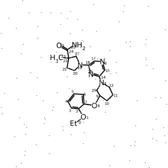 CCOc1ccccc1OC1CCCN(c2cncc(N3CCC(C)(C(N)=O)C3)n2)C1